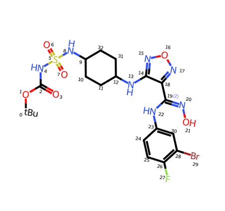 CC(C)(C)OC(=O)NS(=O)(=O)NC1CCC(Nc2nonc2/C(=N/O)Nc2ccc(F)c(Br)c2)CC1